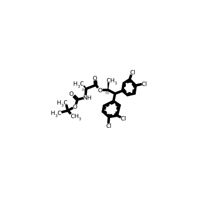 C[C@H](NC(=O)OC(C)(C)C)C(=O)O[C@@H](C)C(c1ccc(Cl)c(Cl)c1)c1ccc(Cl)c(Cl)c1